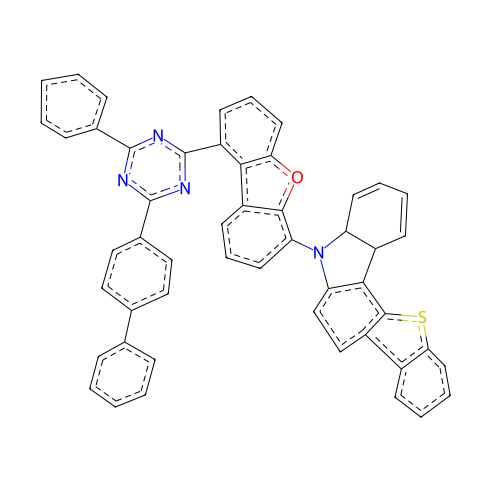 C1=CC2c3c(ccc4c3sc3ccccc34)N(c3cccc4c3oc3cccc(-c5nc(-c6ccccc6)nc(-c6ccc(-c7ccccc7)cc6)n5)c34)C2C=C1